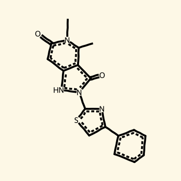 Cc1c2c(=O)n(-c3nc(-c4ccccc4)cs3)[nH]c2cc(=O)n1C